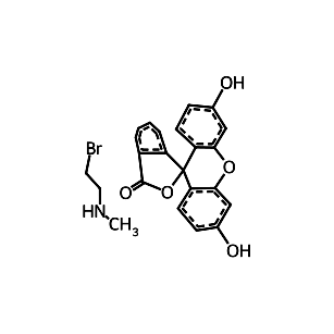 CNCCBr.O=C1OC2(c3ccc(O)cc3Oc3cc(O)ccc32)c2ccccc21